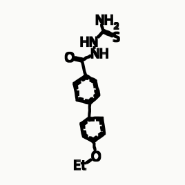 CCOc1ccc(-c2ccc(C(=O)NNC(N)=S)cc2)cc1